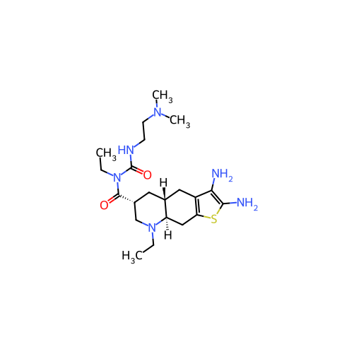 CCN(C(=O)NCCN(C)C)C(=O)[C@@H]1C[C@@H]2Cc3c(sc(N)c3N)C[C@H]2N(CC)C1